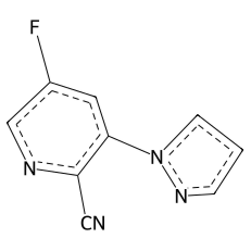 N#Cc1ncc(F)cc1-n1cccn1